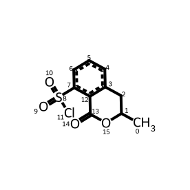 CC1Cc2cccc(S(=O)(=O)Cl)c2C(=O)O1